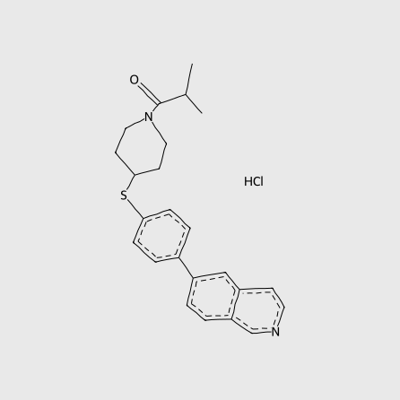 CC(C)C(=O)N1CCC(Sc2ccc(-c3ccc4cnccc4c3)cc2)CC1.Cl